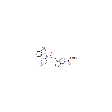 CN1CCC(N(Cc2ccccc2C(F)(F)F)C(=O)CCc2cccc3c2CCN(C(=O)OC(C)(C)C)C3)CC1